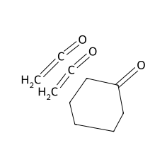 C=C=O.C=C=O.O=C1CCCCC1